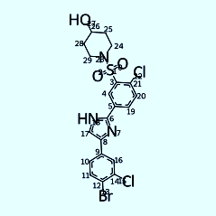 O=S(=O)(c1cc(-c2nc(-c3ccc(Br)c(Cl)c3)c[nH]2)ccc1Cl)N1CCC(O)CC1